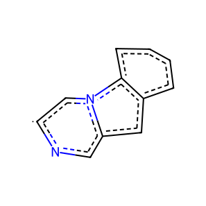 [c]1cn2c(cn1)cc1ccccc12